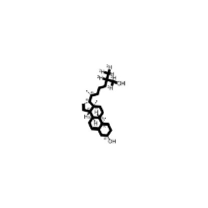 [2H]C([2H])([2H])C([2H])(CCC[C@@H](C)[C@H]1CC[C@H]2[C@@H]3CC=C4C[C@@H](O)CC[C@]4(C)[C@H]3CC[C@]12C)C([2H])([2H])O